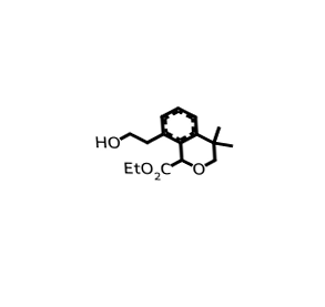 CCOC(=O)C1OCC(C)(C)c2cccc(CCO)c21